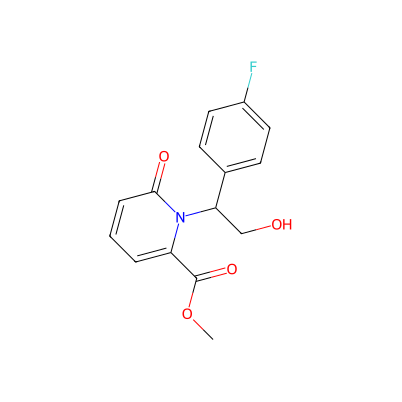 COC(=O)c1cccc(=O)n1C(CO)c1ccc(F)cc1